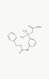 COC(=O)CC(C)(N)c1cccc(NC(=O)OCc2ccccc2)c1